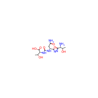 CC(O)[C@H](NC(=O)N[C@@H](CC(N)=O)c1nnc([C@@H](N)C(C)O)o1)C(=O)O